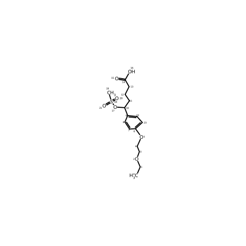 CCOCCOc1ccc(C(CCCC(=O)O)OS(C)(=O)=O)cc1